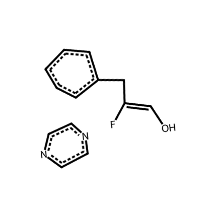 O/C=C(\F)Cc1ccccc1.c1cnccn1